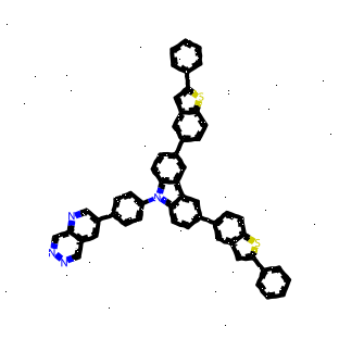 c1ccc(-c2cc3cc(-c4ccc5c(c4)c4cc(-c6ccc7sc(-c8ccccc8)cc7c6)ccc4n5-c4ccc(-c5cnc6cnncc6c5)cc4)ccc3s2)cc1